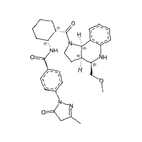 COC[C@@H]1Nc2ccccc2[C@H]2[C@@H]1CCN2C(=O)[C@H]1CCCC[C@H]1NC(=O)c1ccc(N2N=C(C)CC2=O)cc1